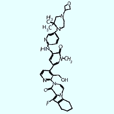 Cn1cc(-c2ccnc(-n3ccn4c5c(c(F)c4c3=O)CCCC5)c2CO)cc(Nc2ccc(N3CCN(C4COC4)CC3(C)C)cn2)c1=O